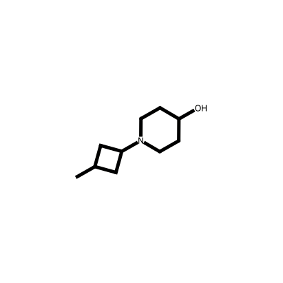 CC1CC(N2CCC(O)CC2)C1